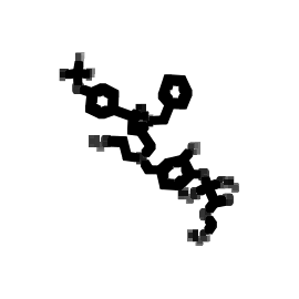 C=CCN(Cc1ccc(OC(C)(C)C(=O)OCC)c(Cl)c1)Cc1cc(-c2ccc(OC(F)(F)F)cc2)nn1Cc1ccccc1